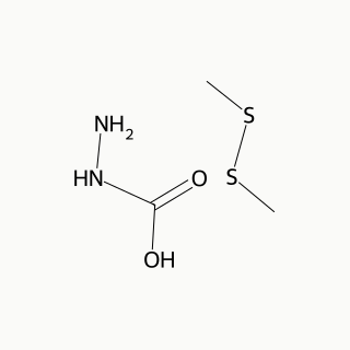 CSSC.NNC(=O)O